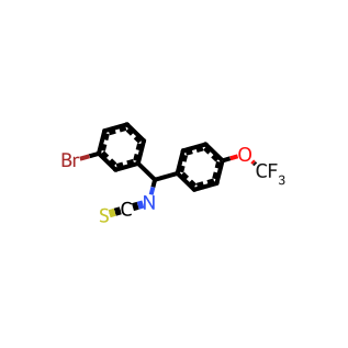 FC(F)(F)Oc1ccc(C(N=C=S)c2cccc(Br)c2)cc1